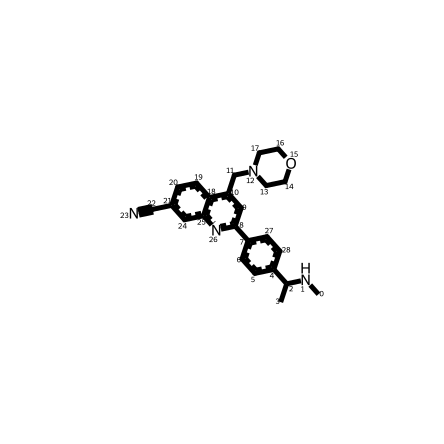 CNC(C)c1ccc(-c2cc(CN3CCOCC3)c3ccc(C#N)cc3n2)cc1